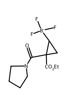 CCOC(=O)C1(C(=O)N2CCCC2)CC1[B-](F)(F)F